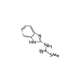 CSC(=[N])Nc1nc2ccccc2[nH]1